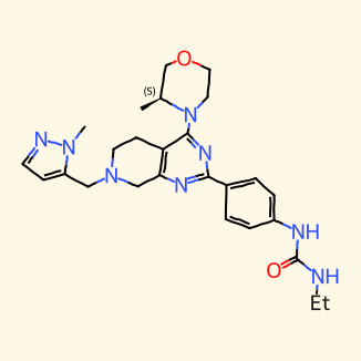 CCNC(=O)Nc1ccc(-c2nc3c(c(N4CCOC[C@@H]4C)n2)CCN(Cc2ccnn2C)C3)cc1